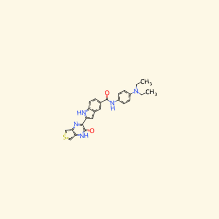 CCN(CC)c1ccc(NC(=O)c2ccc3[nH]c(-c4nc5cscc5[nH]c4=O)cc3c2)cc1